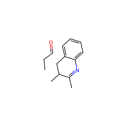 CC1=Nc2ccccc2CC1C.CCC=O